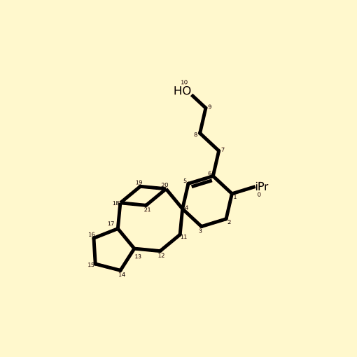 CC(C)C1CCC2(C=C1CCCO)CCC1CCCC1C1CC2C1